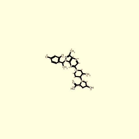 Cc1nn(C(C)c2ccc(Cl)cc2Cl)c2nc(N3CCC(N4CC(O)CC4C(=O)O)C(C)C3)cnc12